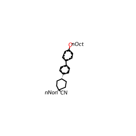 CCCCCCCCC[C@]1(C#N)CC[C@H](c2ccc(-c3ccc(OCCCCCCCC)cc3)cc2)CC1